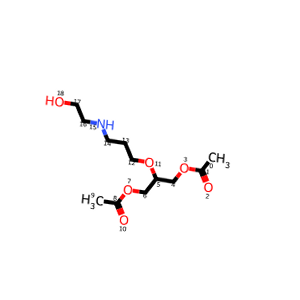 CC(=O)OCC(COC(C)=O)OCCCNCCO